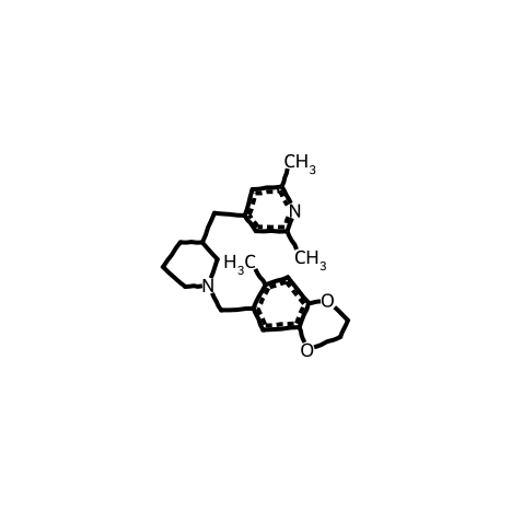 Cc1cc(CC2CCCN(Cc3cc4c(cc3C)OCCO4)C2)cc(C)n1